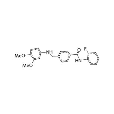 COc1ccc(NCc2ccc(C(=O)Nc3ccccc3F)cc2)cc1OC